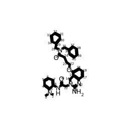 CN(C)c1ccccc1NC(=O)CN1Cc2c(cccc2OCCCC(=O)N(Cc2ccccc2)Cc2ccccc2)N=C1N